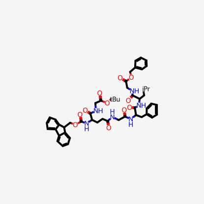 CC(C)CC(NC(=O)C(Cc1ccccc1)NC(=O)CNC(=O)CCC(NC(=O)OCC1c2ccccc2-c2ccccc21)C(=O)NCC(=O)OC(C)(C)C)C(=O)NCC(=O)OCc1ccccc1